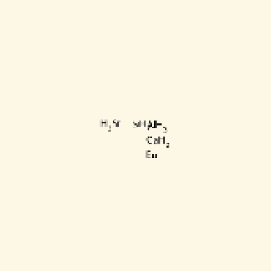 [AlH3].[CaH2].[Eu].[SiH4].[SrH2]